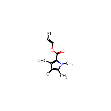 CCC=COC(=O)c1c(C=O)c(C)c(C)n1C